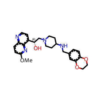 COc1ccc2nccc([C@@H](O)CN3CCC(NCc4ccc5c(c4)OCCO5)CC3)c2n1